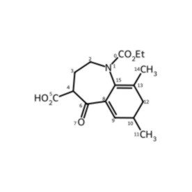 CCOC(=O)N1CCC(C(=O)O)C(=O)C2=CC(C)CC(C)=C21